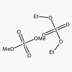 CCOS(=O)(=O)OCC.COS(=O)(=O)OC